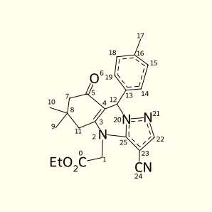 CCOC(=O)CN1C2=C(C(=O)CC(C)(C)C2)C(c2ccc(C)cc2)n2ncc(C#N)c21